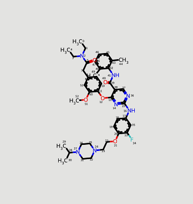 CCN(CC)C(=O)Cc1ccc(Oc2nc(Nc3ccc(OCCN4CCN(C(C)C)CC4)c(F)c3)ncc2C(=O)Nc2c(C)cccc2C)c(OC)c1